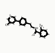 O=C(NCCc1ccc(-c2cncc(Cl)c2)cc1)c1ccccc1C(F)(F)F